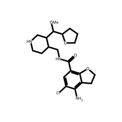 COC(C1CCCO1)C1CNCCC1CNC(=O)c1cc(Cl)c(N)c2c1OCC2